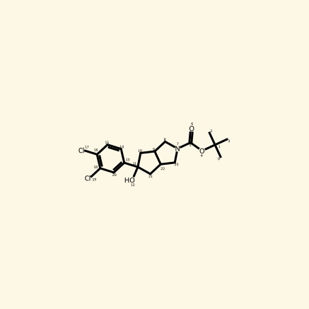 CC(C)(C)OC(=O)N1CC2CC(O)(c3ccc(Cl)c(Cl)c3)CC2C1